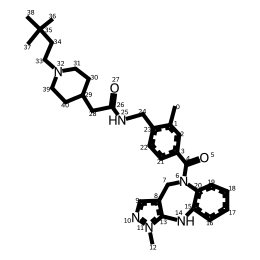 Cc1cc(C(=O)N2Cc3cnn(C)c3Nc3ccccc32)ccc1CNC(=O)CC1CCN(CCC(C)(C)C)CC1